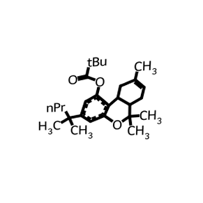 CCCC(C)(C)c1cc(OC(=O)C(C)(C)C)c2c(c1)OC(C)(C)C1CC=C(C)CC21